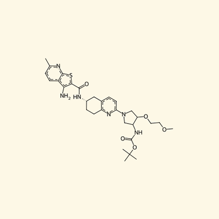 COCCOC1CN(c2ccc3c(n2)CC[C@H](NC(=O)c2sc4nc(C)ccc4c2N)C3)CC1NC(=O)OC(C)(C)C